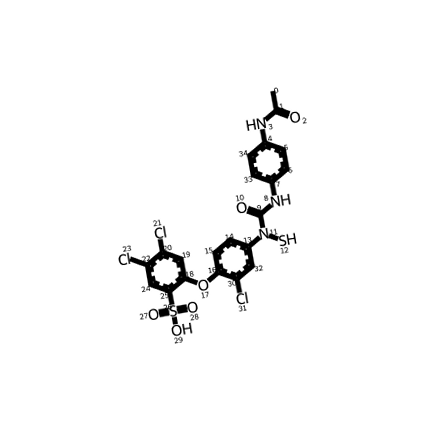 CC(=O)Nc1ccc(NC(=O)N(S)c2ccc(Oc3cc(Cl)c(Cl)cc3S(=O)(=O)O)c(Cl)c2)cc1